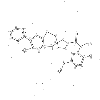 COc1cc(C(C)C(=O)N2CCC3(CCc4cc(-c5ncccn5)c(C)nc4N3)C2)c(Cl)cn1